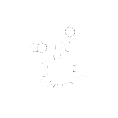 C[C@@H]1C[C@H]2C(=O)OC[C@H](NC(=O)[C@H](Cc3ccccc3)NC(=O)Nc3ccc4c(c3)CCN4C)C(=O)N3CCC[C@H]3CN3CCCC[C@H]3C(=O)N[C@@H](C)C(=O)N2C1